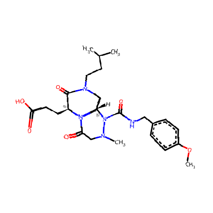 COc1ccc(CNC(=O)N2[C@H]3CN(CCC(C)C)C(=O)[C@H](CCC(=O)O)N3C(=O)CN2C)cc1